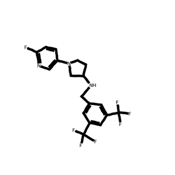 Fc1ccc(N2CCC(NCc3cc(C(F)(F)F)cc(C(F)(F)F)c3)C2)cn1